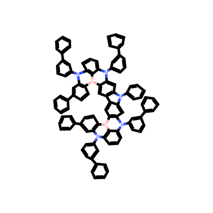 c1ccc(-c2cccc(N3c4cc(-c5ccccc5)ccc4B4c5cc6c7cc8c(cc7n(-c7ccccc7)c6cc5N(c5cccc(-c6ccccc6)c5)c5cccc3c54)N(c3cccc(-c4ccccc4)c3)c3cccc4c3B8c3ccc(-c5ccccc5)cc3N4c3cccc(-c4ccccc4)c3)c2)cc1